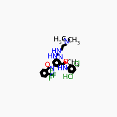 Cc1c(Cl)cccc1NC(=O)c1cc(NC(=O)c2ccccc2C(F)(F)F)cc2[nH]c(NCCCN(C)C)nc12.Cl